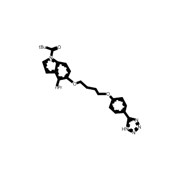 CCCc1c(OCCCCOc2ccc(-c3nnn[nH]3)cc2)ccc2c1ccn2C(=O)C(C)(C)C